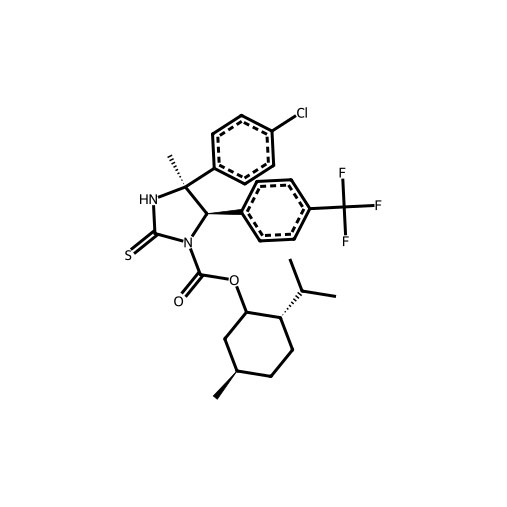 CC(C)[C@@H]1CC[C@@H](C)CC1OC(=O)N1C(=S)N[C@@](C)(c2ccc(Cl)cc2)[C@H]1c1ccc(C(F)(F)F)cc1